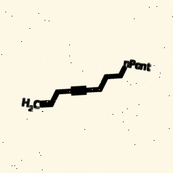 C=CCC#CCCCCCCCC